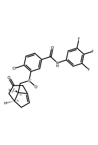 C[C@@]1(C[S+]([O-])c2cc(C(=O)Nc3cc(F)c(F)c(F)c3)ccc2Cl)C2=CC[C@H]1CC(=O)C2